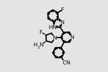 N#Cc1cccc(-c2cncc(-c3nc4c(F)cccc4[nH]3)c2N2C[C@@H](N)[C@@H](F)C2)c1